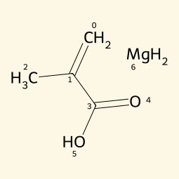 C=C(C)C(=O)O.[MgH2]